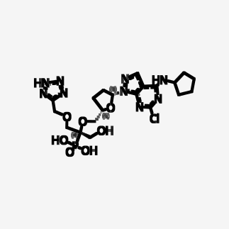 O=P(O)(O)[C@](CO)(COCc1nn[nH]n1)OC[C@@H]1CC[C@H](n2ncc3c(NC4CCCC4)nc(Cl)nc32)O1